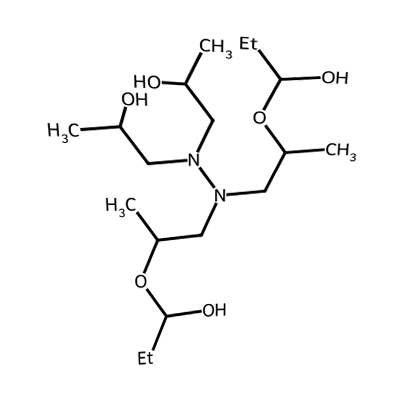 CCC(O)OC(C)CN(CC(C)OC(O)CC)N(CC(C)O)CC(C)O